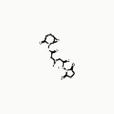 CN(CC(=O)ON1C(=O)CCC1=O)CC(=O)ON1C(=O)CCC2OC21